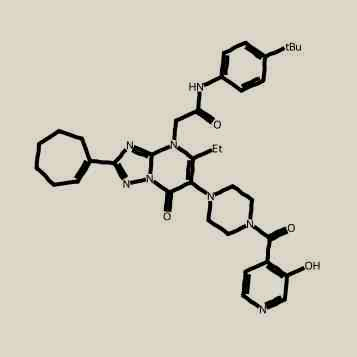 CCc1c(N2CCN(C(=O)c3ccncc3O)CC2)c(=O)n2nc(C3=CCCCCC3)nc2n1CC(=O)Nc1ccc(C(C)(C)C)cc1